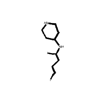 ICCCC(I)NC1CCNCC1